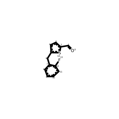 O=Cc1ccc(Cc2ccccc2F)s1